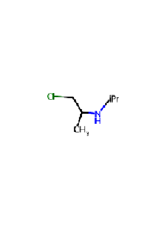 CC(C)NC(C)CCl